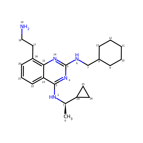 C[C@@H](Nc1nc(NCC2CCCCC2)nc2c(CCN)cccc12)C1CC1